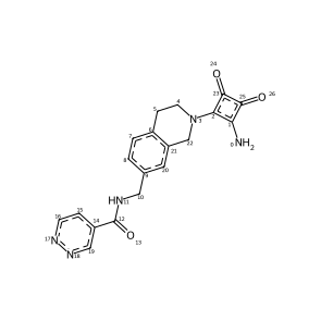 Nc1c(N2CCc3ccc(CNC(=O)c4ccnnc4)cc3C2)c(=O)c1=O